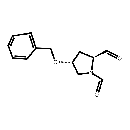 O=C[C@@H]1C[C@@H](OCc2ccccc2)CN1C=O